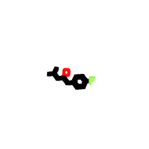 CC(C)CC(=O)Cc1ccc(F)cc1